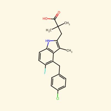 Cc1c(CC(C)(C)C(=O)O)[nH]c2ccc(F)c(Cc3ccc(Cl)cc3)c12